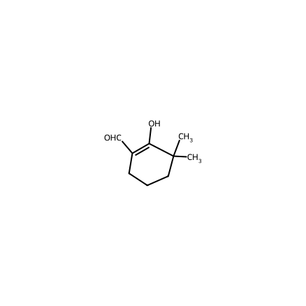 CC1(C)CCCC(C=O)=C1O